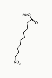 COC(=O)CCCCCCCCC[N+](=O)[O-]